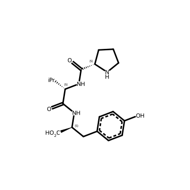 CC(C)[C@H](NC(=O)[C@@H]1CCCN1)C(=O)N[C@@H](Cc1ccc(O)cc1)C(=O)O